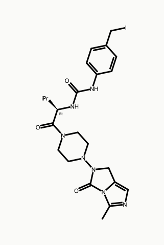 Cc1ncc2n1C(=O)N(N1CCN(C(=O)[C@H](NC(=O)Nc3ccc(CI)cc3)C(C)C)CC1)C2